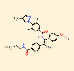 CCCC(c1ccc(C(=O)NCCC(=O)O)cc1)C(NC(=O)c1cc(C)c(-n2cc(C(F)(F)F)cn2)c(C)c1)c1ccc(OC(F)(F)F)cc1